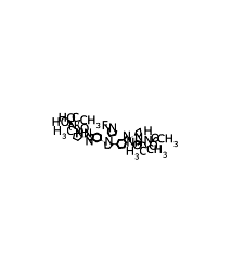 COC(=O)N[C@H](C(=O)N1CCC[C@H]1c1nc2cc([C@H]3CC[C@H](c4ccc5[nH]c([C@@H]6CCCN6C(=O)[C@H](C(C)C)N(C)C(=O)O)nc5c4)N3c3ccnc(F)c3)ccc2[nH]1)C(C)C